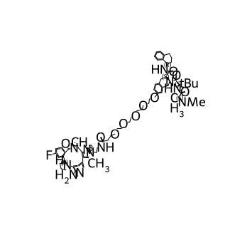 CN[C@@H](C)C(=O)N[C@H](C(=O)N1Cc2cc(OCCOCCOCCOCCOCCC(=O)NCCn3nc4c(c3C)-c3cnc(N)c(c3)N3CCC[C@@H]3c3cc(F)ccc3C(=O)N(C)C4)ccc2C[C@H]1C(=O)N[C@@H]1CCCc2ccccc21)C(C)(C)C